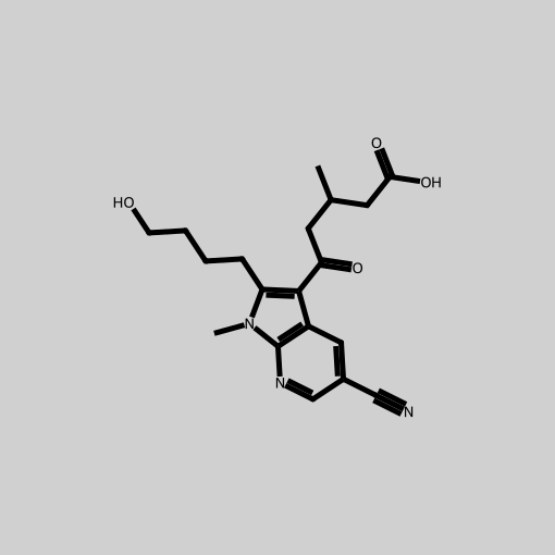 CC(CC(=O)O)CC(=O)c1c(CCCCO)n(C)c2ncc(C#N)cc12